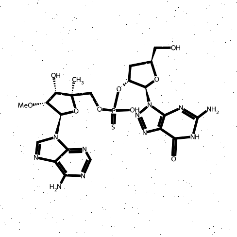 CO[C@H]1[C@H](n2cnc3c(N)ncnc32)O[C@](C)(COP(O)(=S)O[C@@H]2C[C@@H](CO)O[C@H]2n2nnc3c(=O)[nH]c(N)nc32)[C@H]1O